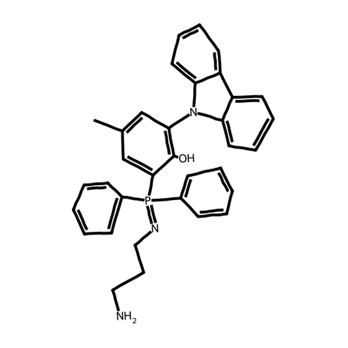 Cc1cc(-n2c3ccccc3c3ccccc32)c(O)c(P(=NCCCN)(c2ccccc2)c2ccccc2)c1